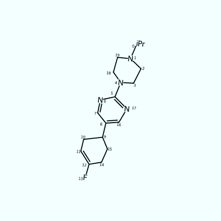 CC(C)N1CCN(c2ncc(C3CC=C(F)CC3)cn2)CC1